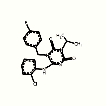 CC(C)n1c(=O)nc(Nc2ccccc2Cl)n(Cc2ccc(F)cc2)c1=O